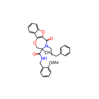 COc1ccccc1CNC(=O)C1(C)COc2c(oc3ccccc23)C(=O)N1CCCc1ccccc1